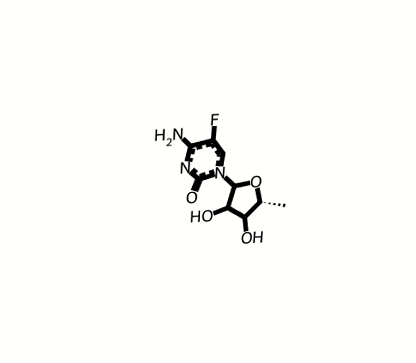 C[C@H]1OC(n2cc(F)c(N)nc2=O)C(O)C1O